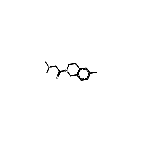 Cc1ccc2c(c1)CCN(C(=O)CN(C)C)C2